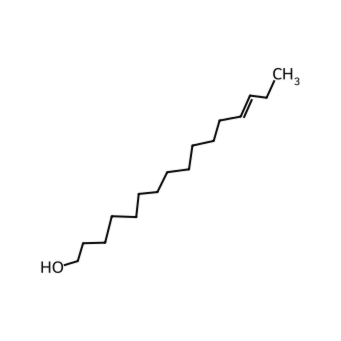 CCC=CCCCCCCCCCCCCO